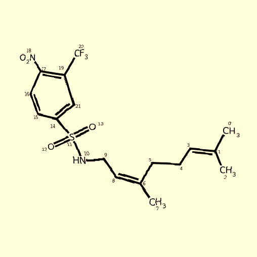 CC(C)=CCCC(C)=CCNS(=O)(=O)c1ccc([N+](=O)[O-])c(C(F)(F)F)c1